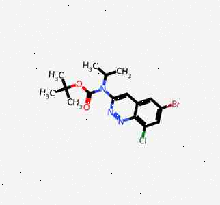 CC(C)N(C(=O)OC(C)(C)C)c1cc2cc(Br)cc(Cl)c2nn1